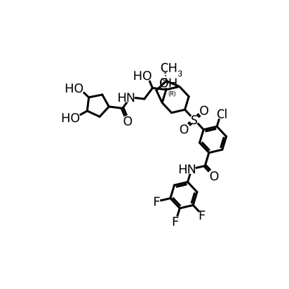 C[C@H]1CC2CC(S(=O)(=O)c3cc(C(=O)Nc4cc(F)c(F)c(F)c4)ccc3Cl)CC1[C@@]2(O)C(O)CNC(=O)C1CC(O)C(O)C1